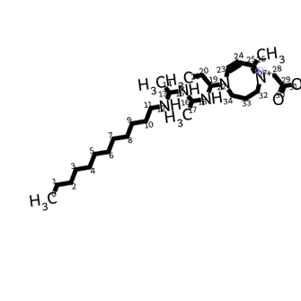 CCCCCCCCCCCCNC(C)NC(C)NC(CC)N1C#C/C(C)=[N+](/CC(=O)[O-])CCC1